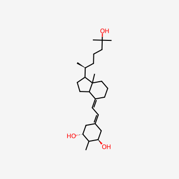 CC1[C@H](O)CC(=C/C=C2\CCCC3(C)C2CCC3[C@@H](C)CCCC(C)(C)O)C[C@H]1O